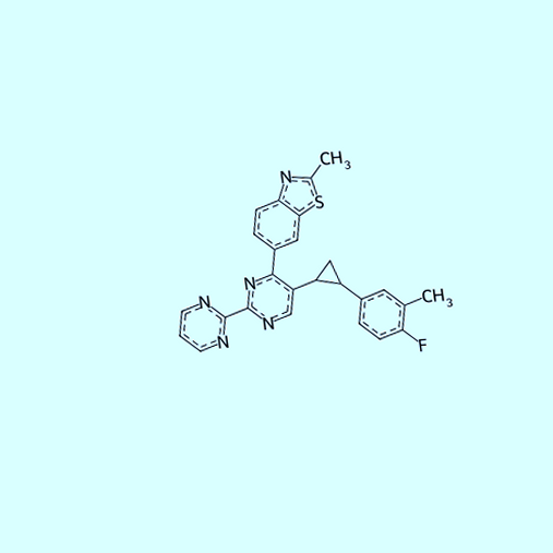 Cc1nc2ccc(-c3nc(-c4ncccn4)ncc3C3CC3c3ccc(F)c(C)c3)cc2s1